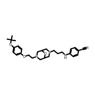 CC(C)(C)Oc1ccc(OCCN2CC3CN(CCCNc4ccc(C#N)cc4)CC(C2)O3)cc1